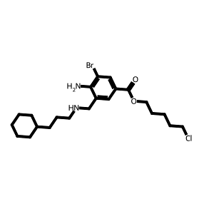 Nc1c(Br)cc(C(=O)OCCCCCCl)cc1CNCCCC1CCCCC1